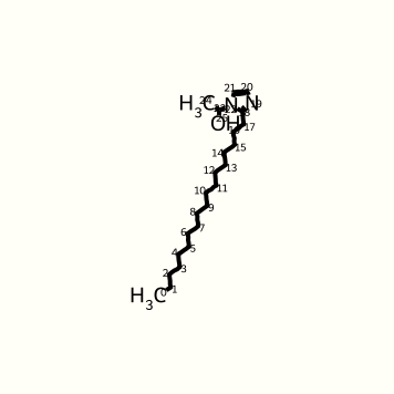 CCCCCCCCCCCCCCCCCCc1nccn1C(C)O